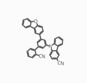 N#Cc1ccc2c(c1)c1ccccc1n2-c1cc(-c2ccc3oc4ccccc4c3c2)cc(-c2ccccc2C#N)c1